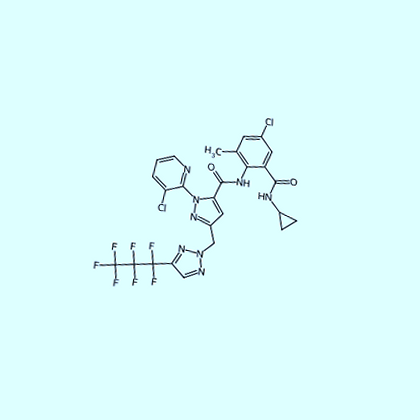 Cc1cc(Cl)cc(C(=O)NC2CC2)c1NC(=O)c1cc(Cn2ncc(C(F)(F)C(F)(F)C(F)(F)F)n2)nn1-c1ncccc1Cl